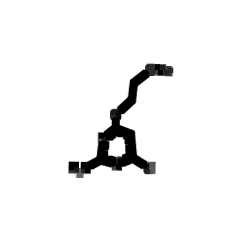 COCCOc1cc(Cl)nc(N)n1